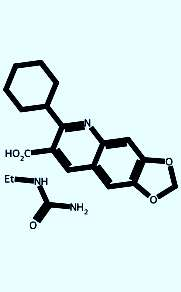 CCNC(N)=O.O=C(O)c1cc2cc3c(cc2nc1C1CCCCC1)OCO3